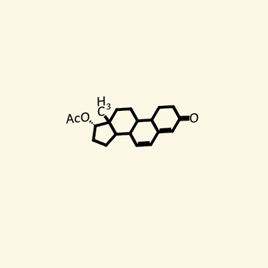 CC(=O)O[C@H]1CCC2C3C=CC4=CC(=O)CCC4C3CCC21C